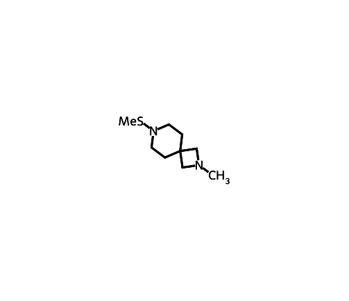 CSN1CCC2(CC1)CN(C)C2